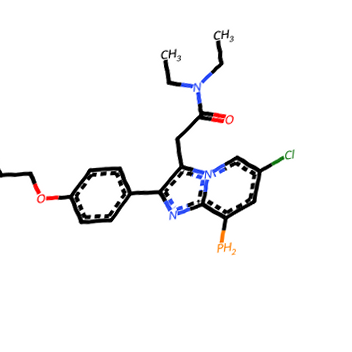 CCN(CC)C(=O)Cc1c(-c2ccc(OCCF)cc2)nc2c(P)cc(Cl)cn12